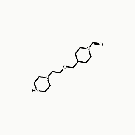 O=CN1CCC(COCCN2CCNCC2)CC1